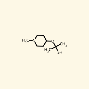 CN1CCC(OC(C)(C)S)CC1